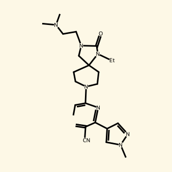 C=C(C#N)/C(=N\C(=C/C)N1CCC2(CC1)CN(CCN(C)C)C(=O)N2CC)c1cnn(C)c1